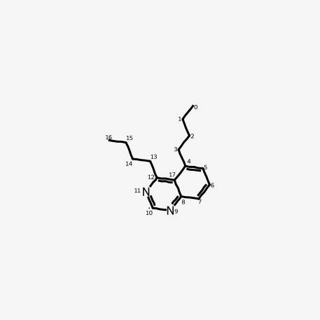 CCCCc1cccc2n[c]nc(CCCC)c12